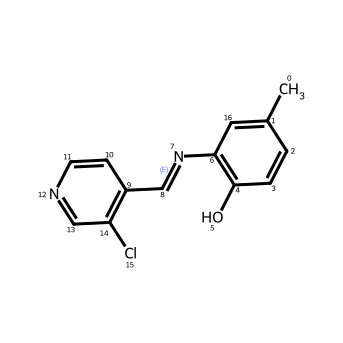 Cc1ccc(O)c(/N=C/c2ccncc2Cl)c1